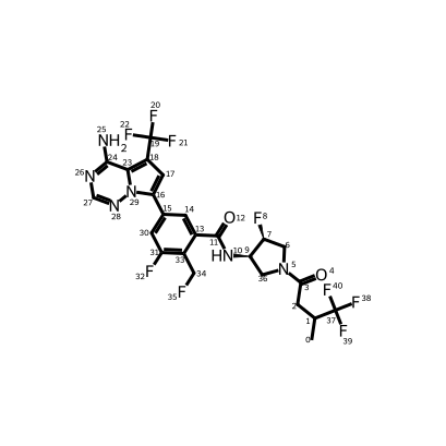 CC(CC(=O)N1C[C@H](F)[C@H](NC(=O)c2cc(-c3cc(C(F)(F)F)c4c(N)ncnn34)cc(F)c2CF)C1)C(F)(F)F